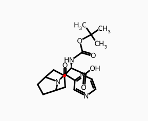 CC(C)(C)OC(=O)N[C@@H](C(=O)O)C1CC2CCC(C1)N2C(=O)c1cnccn1